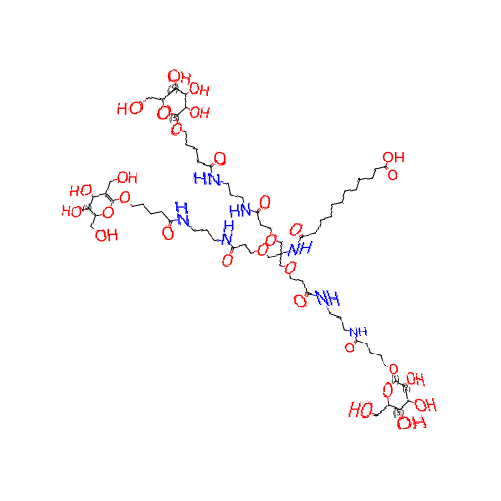 O=C(O)CCCCCCCCCCC(=O)NC(COCCC(=O)NCCCNC(=O)CCCCOC1=C(CO)C(O)[C@H](O)C(CO)O1)(COCCC(=O)NCCCNC(=O)CCCCO[C@H]1OC(CO)[C@@H](O)C(O)C1O)COCCC(=O)NCCCNC(=O)CCCCO[C@H]1OC(CO)[C@@H](O)C(O)[C@H]1O